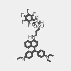 CCN=C1C=CC(=C(c2ccc(N(CC)CC)cc2)c2ccc(NCCCS(=O)(=O)NS(=O)(=O)c3c(F)c(F)c(F)c(F)c3F)c3ccccc23)C=C1